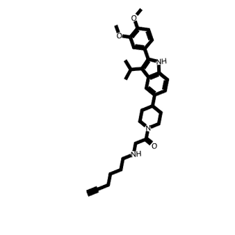 C#CCCCCNCC(=O)N1CCC(c2ccc3[nH]c(-c4ccc(OC)c(OC)c4)c(C(C)C)c3c2)CC1